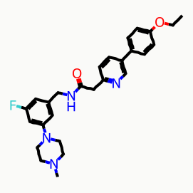 CCOc1ccc(-c2ccc(CC(=O)NCc3cc(F)cc(N4CCN(C)CC4)c3)nc2)cc1